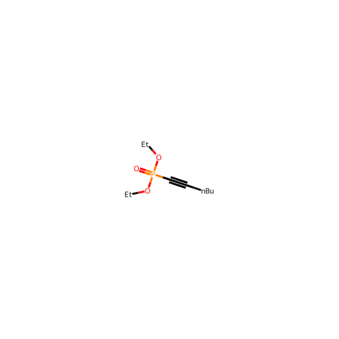 CCCCC#CP(=O)(OCC)OCC